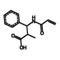 C=CC(=O)NC(c1ccccc1)C(C)C(=O)O